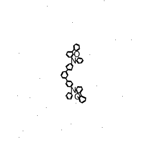 c1ccc(N(c2ccc(-c3cccc(-c4ccc(N(c5ccccc5)c5cccc6c5oc5ccccc56)cc4)c3)cc2)c2cccc3c2oc2ccccc23)cc1